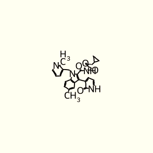 Cc1ccc2c(c1)c(-c1ccc[nH]c1=O)c(C(=O)NS(=O)(=O)C1CC1)n2Cc1cccnc1C